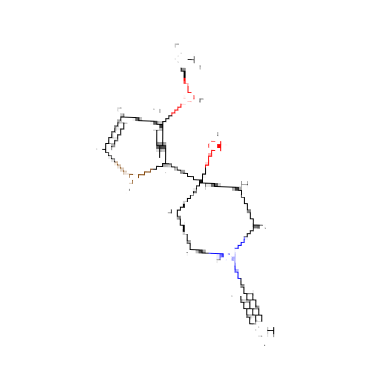 C#CN1CCC(O)(c2sccc2OC)CC1